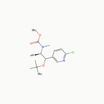 CCC[C@H](C(O[Si](C)(C)C(C)(C)C)c1ccc(Cl)nc1)N(C)C(=O)OC(C)(C)C